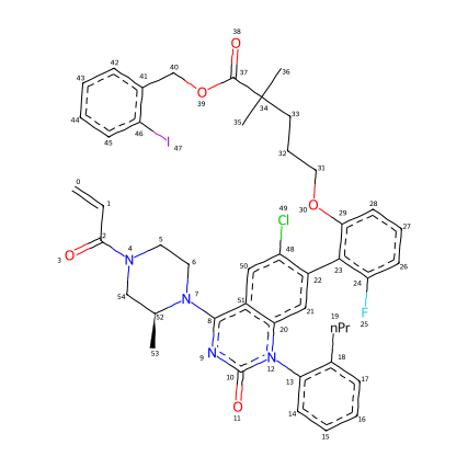 C=CC(=O)N1CCN(c2nc(=O)n(-c3ccccc3CCC)c3cc(-c4c(F)cccc4OCCCC(C)(C)C(=O)OCc4ccccc4I)c(Cl)cc23)[C@@H](C)C1